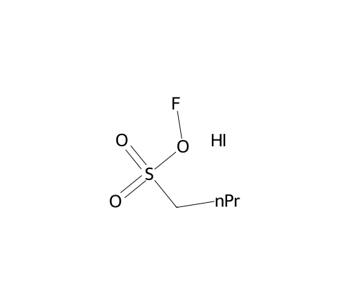 CCCCS(=O)(=O)OF.I